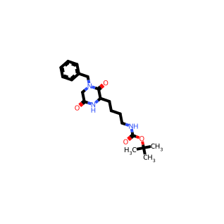 CC(C)(C)OC(=O)NCCCCC1NC(=O)CN(Cc2ccccc2)C1=O